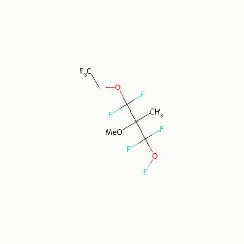 COC(C)(C(F)(F)OF)C(F)(F)OCC(F)(F)F